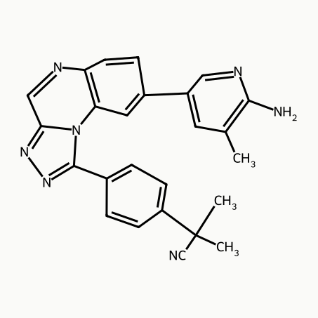 Cc1cc(-c2ccc3ncc4nnc(-c5ccc(C(C)(C)C#N)cc5)n4c3c2)cnc1N